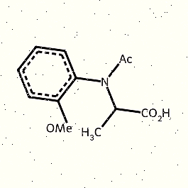 COc1ccccc1N(C(C)=O)C(C)C(=O)O